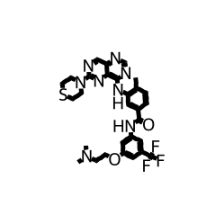 Cc1ccc(C(=O)Nc2cc(OCCN(C)C)cc(C(F)(F)F)c2)cc1Nc1ncnc2cnc(N3CCSCC3)nc12